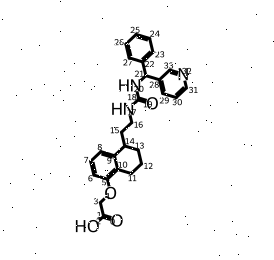 O=C(O)COc1cccc2c1CCCC2CCNC(=O)NC(c1ccccc1)c1cccnc1